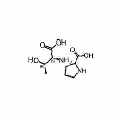 C[C@@H](O)[C@H](N)C(=O)O.O=C(O)C1CCCN1